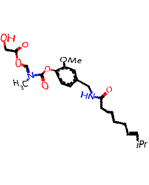 COc1cc(CNC(=O)CCCC/C=C/C(C)C)ccc1OC(=O)N(C)COC(=O)CO